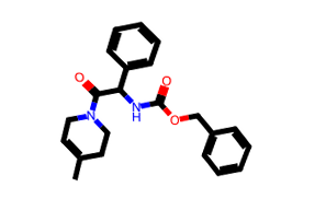 CC1=CCN(C(=O)C(NC(=O)OCc2ccccc2)c2ccccc2)CC1